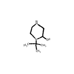 CC(C)(C)N1CCNCC1O